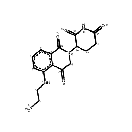 NCCNc1cccc2c1C(=O)CN(C1CCC(=O)NC1=O)C2=O